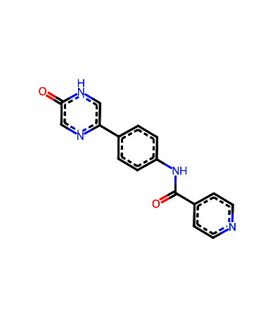 O=C(Nc1ccc(-c2c[nH]c(=O)cn2)cc1)c1ccncc1